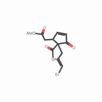 CCC=CCC1(C(=O)OC)C(=O)C=CC1CC(=O)OC